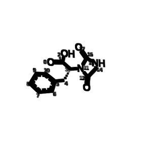 O=C(O)[C@@H](Cc1ccccc1)N1C(=O)CNC1=O